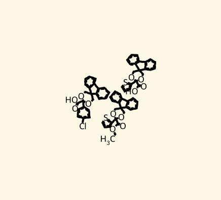 CCOC(=O)C1(c2cccs2)OCC2(CO1)c1ccccc1-c1ccccc12.O=C(O)C1(c2ccc(Cl)cc2)OCC2(CO1)c1ccccc1-c1ccccc12.O=C(O)C1(c2cccs2)OCC2(CO1)c1ccccc1-c1ccccc12